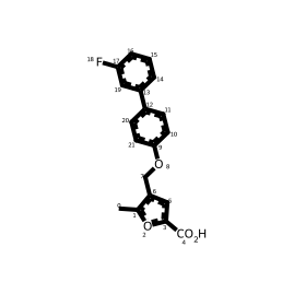 Cc1oc(C(=O)O)cc1COc1ccc(-c2cccc(F)c2)cc1